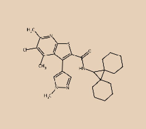 Cc1nc2sc(C(=O)NC3C4(CCCCC4)C34CCCCC4)c(-c3cnn(C)c3)c2c(C)c1Cl